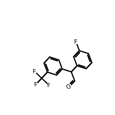 O=CC(c1cccc(F)c1)c1cccc(C(F)(F)F)c1